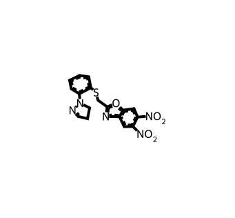 O=[N+]([O-])c1cc2nc(CSc3ccccc3N3CCC=N3)oc2cc1[N+](=O)[O-]